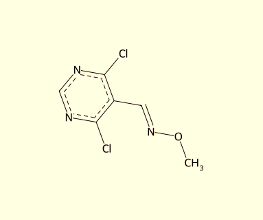 CON=Cc1c(Cl)ncnc1Cl